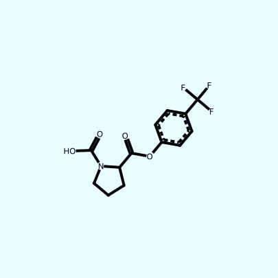 O=C(Oc1ccc(C(F)(F)F)cc1)C1CCCN1C(=O)O